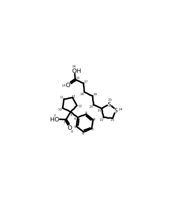 O=C(O)C1(c2ccccc2)CCCC1.O=C(O)CCCCC1CCSS1